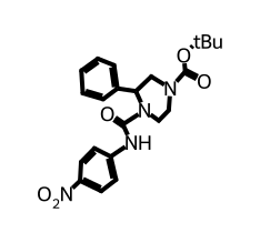 CC(C)(C)OC(=O)N1CCN(C(=O)Nc2ccc([N+](=O)[O-])cc2)C(c2ccccc2)C1